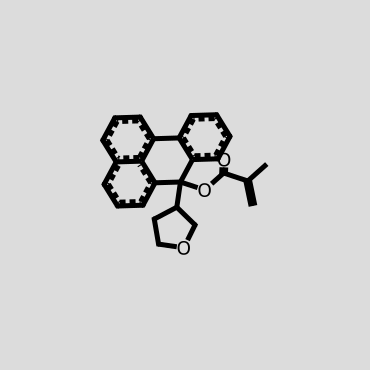 C=C(C)C(=O)OC1(C2CCOC2)c2ccccc2-c2cccc3cccc1c23